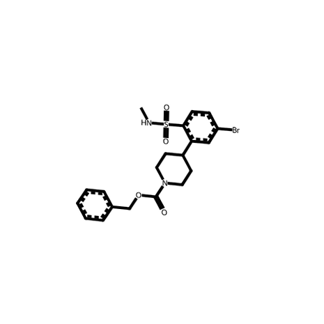 CNS(=O)(=O)c1ccc(Br)cc1C1CCN(C(=O)OCc2ccccc2)CC1